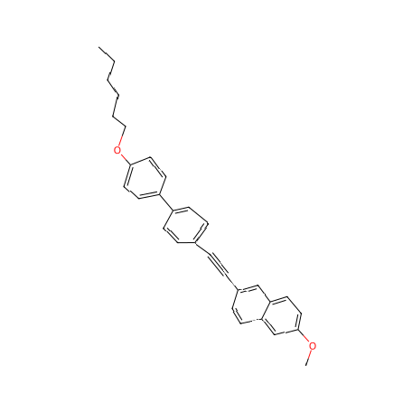 CCCCCCOc1ccc(-c2ccc(C#Cc3ccc4cc(OC)ccc4c3)cc2)cc1